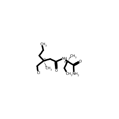 CCC[C@](C)(CCl)CC(=O)N[C@](C)(CC)C(N)=O